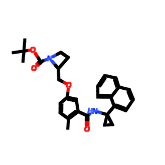 Cc1ccc(OCC2CCN2C(=O)OC(C)(C)C)cc1C(=O)NC1(c2cccc3ccccc23)CC1